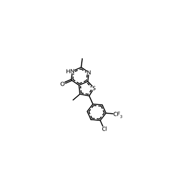 Cc1nc2sc(-c3ccc(Cl)c(C(F)(F)F)c3)c(C)c2c(=O)[nH]1